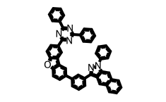 c1ccc(-c2nc(-c3ccccc3)nc(-c3ccc4oc5ccc(-c6cccc(-c7nn(-c8ccccc8)c8cc9ccccc9cc78)c6)cc5c4c3)n2)cc1